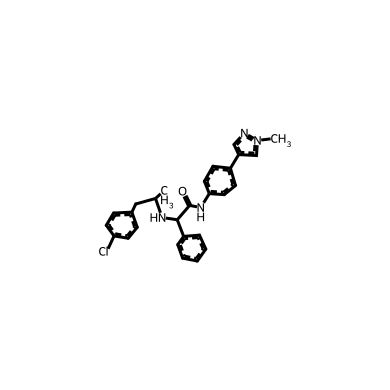 CC(Cc1ccc(Cl)cc1)NC(C(=O)Nc1ccc(-c2cnn(C)c2)cc1)c1ccccc1